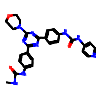 CNC(=O)Nc1ccc(-c2nc(-c3ccc(NC(=O)Nc4ccncc4)cc3)nc(N3CCOCC3)n2)cc1